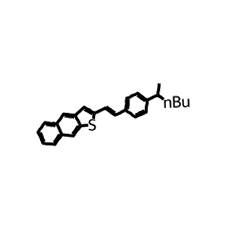 CCCCC(C)c1ccc(C=Cc2cc3cc4ccccc4cc3s2)cc1